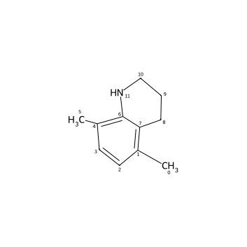 Cc1ccc(C)c2c1CCCN2